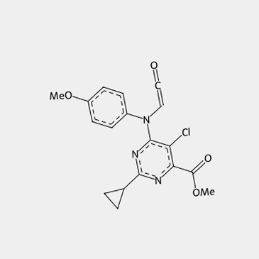 COC(=O)c1nc(C2CC2)nc(N(C=C=O)c2ccc(OC)cc2)c1Cl